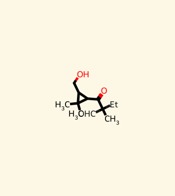 CCC(C)(C=O)C(=O)C1C(CO)C1(C)C